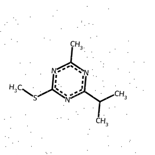 CSc1nc(C)nc(C(C)C)n1